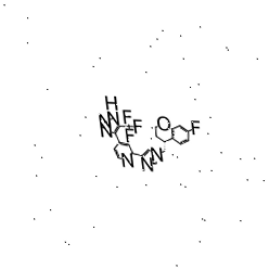 Fc1ccc2c(c1)OCC[C@H]2Cn1cnc(-c2cc(-c3nn[nH]c3C(F)(F)F)ccn2)c1